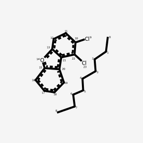 CCCCCCCCC.Clc1ccc2oc3ccccc3c2c1Cl